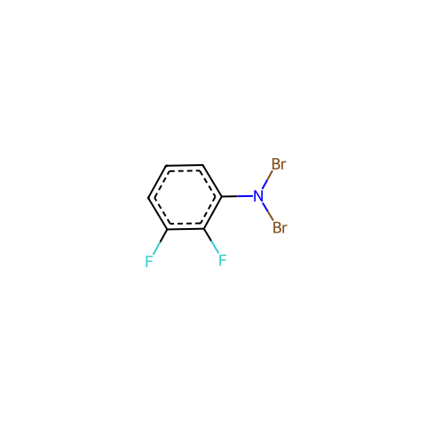 Fc1cccc(N(Br)Br)c1F